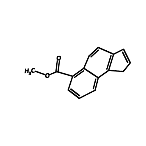 COC(=O)c1cccc2c3c(ccc12)C=CC3